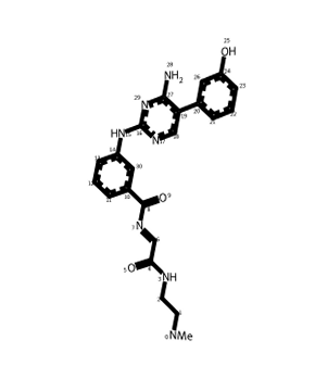 CNCCNC(=O)C=NC(=O)c1cccc(Nc2ncc(-c3cccc(O)c3)c(N)n2)c1